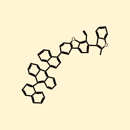 C=Cc1c(-c2c(C)oc3ccccc23)ccc2c1oc1ccc(-c3ccc(-c4c5ccccc5c(-c5cccc6ccccc56)c5ccccc45)c4ccccc34)cc12